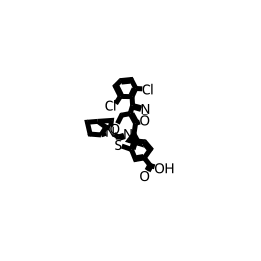 O=C(O)c1ccc2nc(N3CC4CCC3C4OCc3c(-c4c(Cl)cccc4Cl)noc3C3CC3)sc2c1